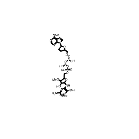 CN/C(N)=N\C(NC1OC(COP(=O)(O)OP(O)OP(O)OOCC2CCC(n3cnc4c(NC)ncnc43)O2)C(OC)C1O)=C(/C=O)NC